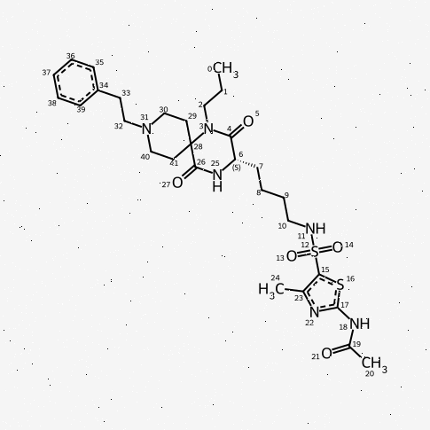 CCCN1C(=O)[C@H](CCCCNS(=O)(=O)c2sc(NC(C)=O)nc2C)NC(=O)C12CCN(CCc1ccccc1)CC2